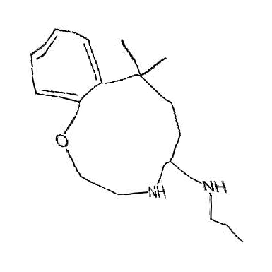 CCNC1CCC(C)(C)c2ccccc2OCCN1